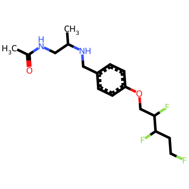 CC(=O)NCC(C)NCc1ccc(OCC(F)C(F)CCF)cc1